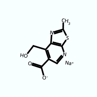 Cc1nc2c(CO)c(C(=O)[O-])cnc2s1.[Na+]